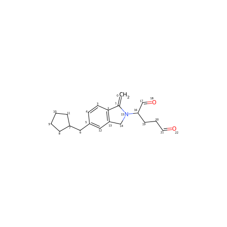 C=C1c2ccc(CC3CCCC3)cc2CN1C(C=O)CCC=O